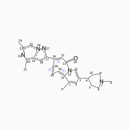 CC1=CC(C2CCN(C)CC2)=CN2C(=O)\C=C(c3cc4c(C)nc(C)cn4n3)/C=C/C=C\12